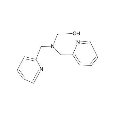 OCN(Cc1ccccn1)Cc1ccccn1